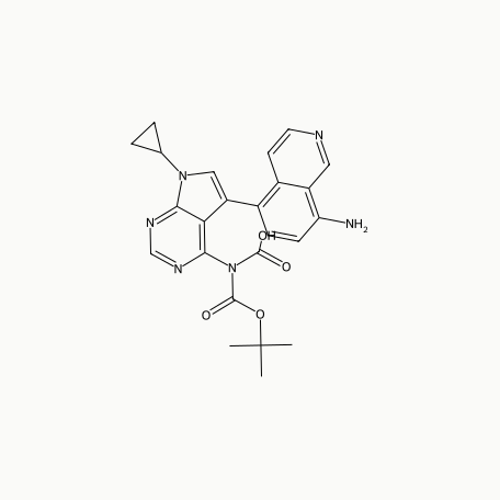 CC(C)(C)OC(=O)N(C(=O)O)c1ncnc2c1c(-c1ccc(N)c3cnccc13)cn2C1CC1